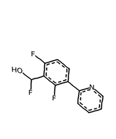 OC(F)c1c(F)ccc(-c2ccccn2)c1F